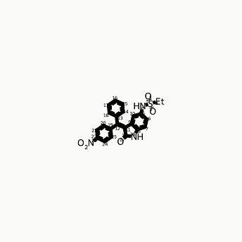 CCS(=O)(=O)Nc1ccc2c(c1)/C(=C(\c1ccccc1)c1ccc([N+](=O)[O-])cc1)C(=O)N2